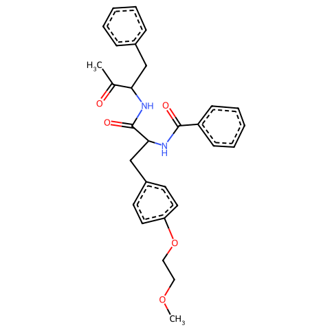 COCCOc1ccc(CC(NC(=O)c2ccccc2)C(=O)NC(Cc2ccccc2)C(C)=O)cc1